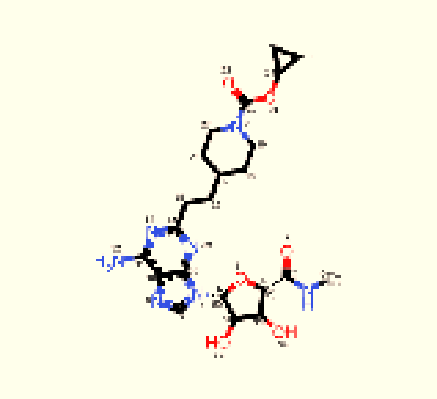 CCNC(=O)[C@H]1O[C@@H](n2cnc3c(N)nc(CCC4CCN(C(=O)OC5CC5)CC4)nc32)C(O)C1O